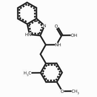 COc1ccc(CC(NC(=O)O)c2nc3ccccc3[nH]2)c(C)c1